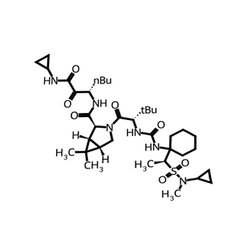 CCCC[C@H](NC(=O)[C@@H]1[C@@H]2[C@H](CN1C(=O)[C@@H](NC(=O)NC1([C@H](C)S(=O)(=O)N(C)C3CC3)CCCCC1)C(C)(C)C)C2(C)C)C(=O)C(=O)NC1CC1